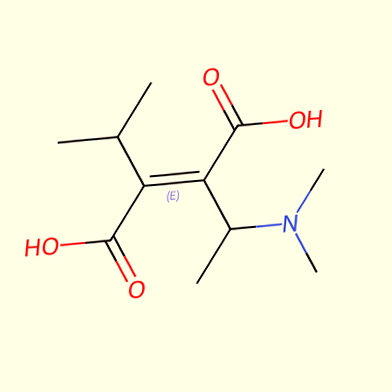 CC(C)/C(C(=O)O)=C(\C(=O)O)C(C)N(C)C